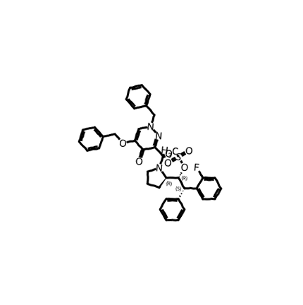 CS(=O)(=O)O[C@H]([C@@H](c1ccccc1)c1ccccc1F)[C@H]1CCCN1C(=O)c1nn(Cc2ccccc2)cc(OCc2ccccc2)c1=O